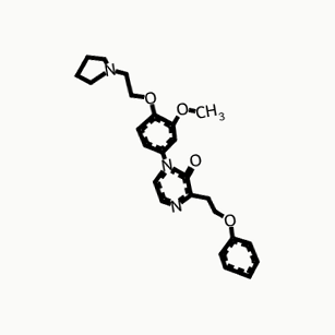 COc1cc(-n2ccnc(CCOc3ccccc3)c2=O)ccc1OCCN1CCCC1